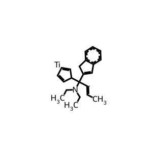 CC=[C]C(C1=Cc2ccccc2C1)(C1C=CC=C1)N(CC)CC.[Ti]